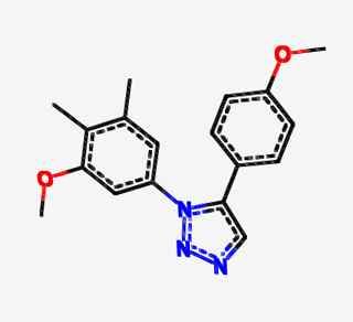 COc1ccc(-c2cnnn2-c2cc(C)c(C)c(OC)c2)cc1